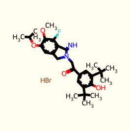 Br.COc1c(OC(C)C)cc2c(c1F)C(=N)N(CC(=O)c1cc(C(C)(C)C)c(O)c(C(C)(C)C)c1)C2